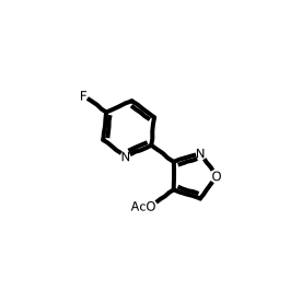 CC(=O)Oc1conc1-c1ccc(F)cn1